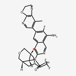 Cc1c(-c2cc3cc(N(C(=O)O)[C@H]4[C@@H]5COC[C@H]4CN(CC(F)F)C5)ncc3c(N)c2F)cnc2c1NCCO2